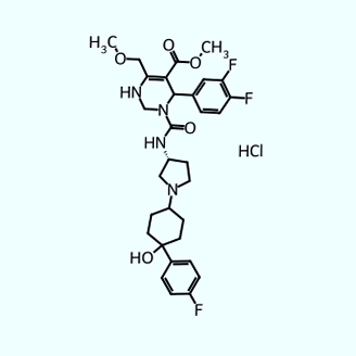 COCC1=C(C(=O)OC)C(c2ccc(F)c(F)c2)N(C(=O)N[C@@H]2CCN(C3CCC(O)(c4ccc(F)cc4)CC3)C2)CN1.Cl